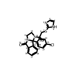 O=C(CSc1ncc[nH]1)N1CCN2C(=O)c3ccccc3C12c1ccc(Cl)cc1